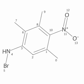 Cc1cc(NBr)c(C)c(C)c1[N+](=O)[O-]